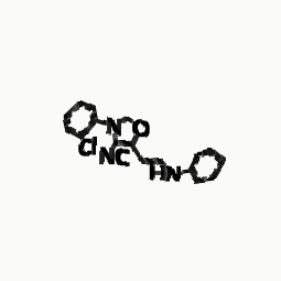 N#CC1=C(C=CNc2ccccc2)OCN1c1ccccc1Cl